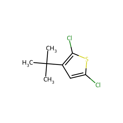 CC(C)(C)c1cc(Cl)sc1Cl